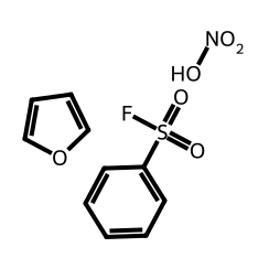 O=S(=O)(F)c1ccccc1.O=[N+]([O-])O.c1ccoc1